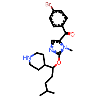 CC(C)CCC(Oc1ncc(C(=O)c2ccc(Br)cc2)n1C)C1CCNCC1